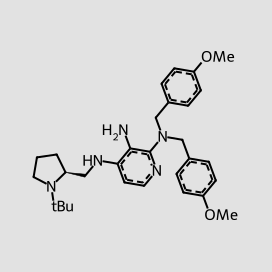 COc1ccc(CN(Cc2ccc(OC)cc2)c2nccc(NC[C@@H]3CCCN3C(C)(C)C)c2N)cc1